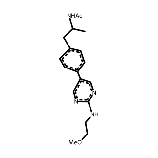 COCCNc1ncc(-c2ccc(CC(C)NC(C)=O)cc2)cn1